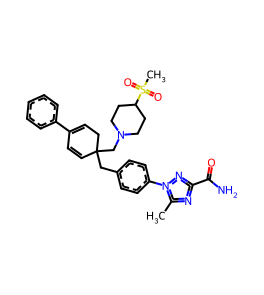 Cc1nc(C(N)=O)nn1-c1ccc(CC2(CN3CCC(S(C)(=O)=O)CC3)C=CC(c3ccccc3)=CC2)cc1